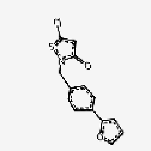 O=c1cc(Cl)sn1Cc1ccc(-c2ccco2)cc1